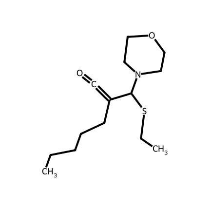 CCCCCC(=C=O)C(SCC)N1CCOCC1